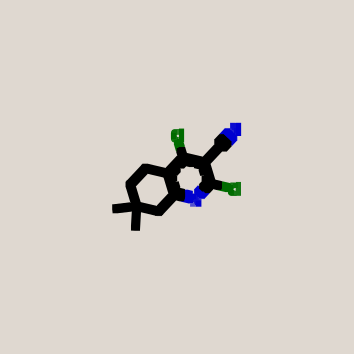 CC1(C)CCc2c(nc(Cl)c(C#N)c2Cl)C1